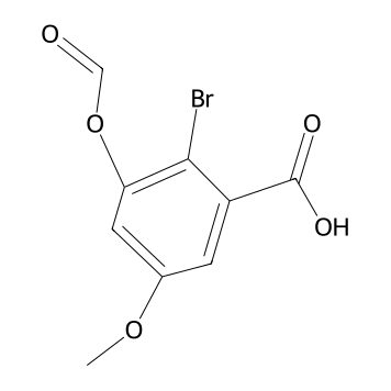 COc1cc(OC=O)c(Br)c(C(=O)O)c1